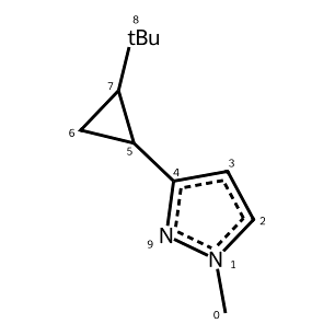 Cn1ccc(C2CC2C(C)(C)C)n1